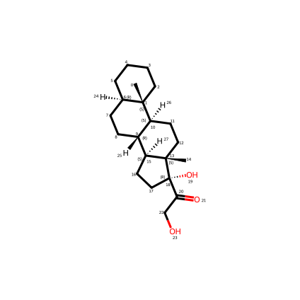 C[C@]12CCCC[C@@H]1CC[C@@H]1[C@@H]2CC[C@@]2(C)[C@H]1CC[C@]2(O)C(=O)CO